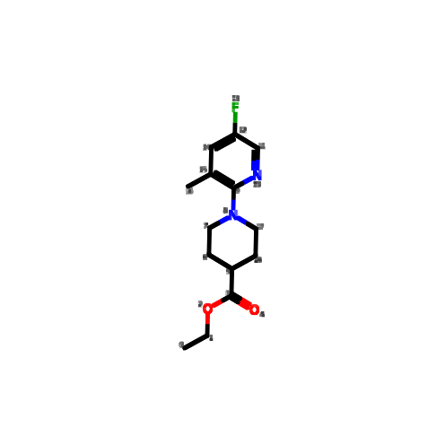 CCOC(=O)C1CCN(c2ncc(F)cc2C)CC1